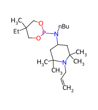 C=CCN1C(C)(C)CC(N(CCCC)P2OCC(C)(CC)CO2)CC1(C)C